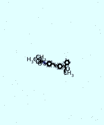 CCC(=O)N(c1ccccc1)C1CCN(CCc2ccc(/C=C/C(=O)OC(C)(C)C)cc2)CC1